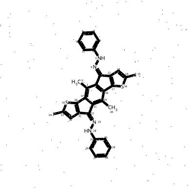 Cc1c2/c(=N/Nc3ccccc3)c3cc(I)sc3c2c(C)c2/c(=N/Nc3ccccc3)c3cc(I)sc3c12